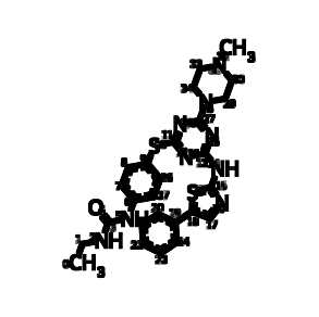 CCNC(=O)Nc1ccc(Sc2nc(Nc3ncc(-c4ccccc4)s3)nc(N3CCN(C)CC3)n2)cc1